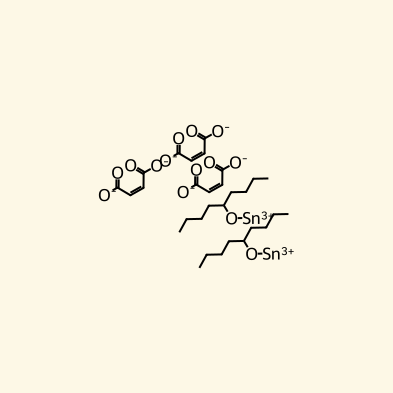 CCCCC(CCCC)[O][Sn+3].CCCCC(CCCC)[O][Sn+3].O=C([O-])/C=C\C(=O)[O-].O=C([O-])/C=C\C(=O)[O-].O=C([O-])/C=C\C(=O)[O-]